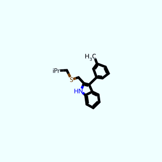 Cc1cccc(-c2c(CSCC(C)C)[nH]c3ccccc23)c1